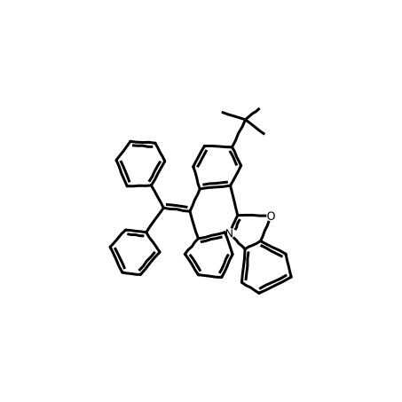 CC(C)(C)c1ccc(C(=C(c2ccccc2)c2ccccc2)c2ccccc2)c(-c2nc3ccccc3o2)c1